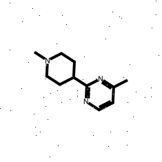 Cc1ccnc(C2CCN(C)CC2)n1